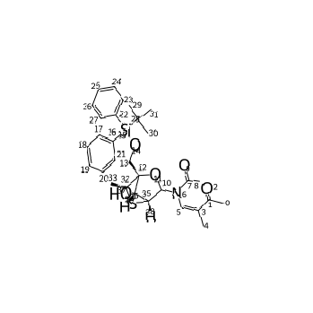 CC(=O)/C(C)=C\N(C(C)=O)C1O[C@@]2(CO[Si](c3ccccc3)(c3ccccc3)C(C)(C)C)[C@H](C)S[C@@H]1[C@@H]2O